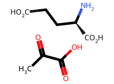 CC(=O)C(=O)O.N[C@H](CCC(=O)O)C(=O)O